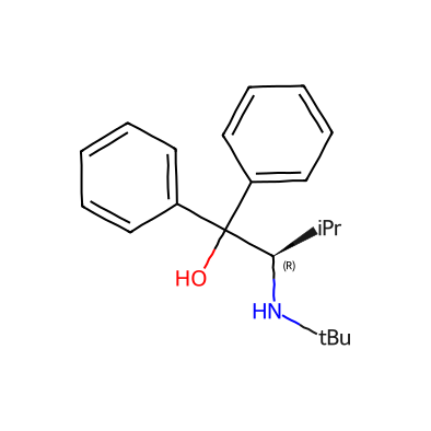 CC(C)[C@@H](NC(C)(C)C)C(O)(c1ccccc1)c1ccccc1